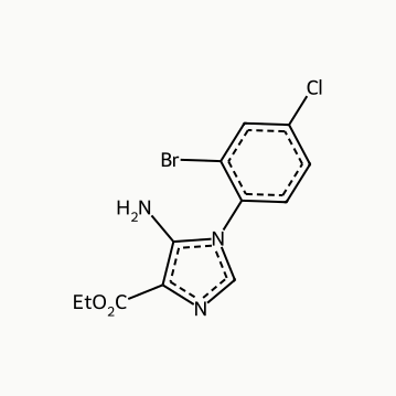 CCOC(=O)c1ncn(-c2ccc(Cl)cc2Br)c1N